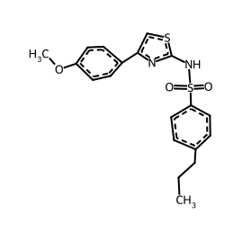 CCCc1ccc(S(=O)(=O)Nc2nc(-c3ccc(OC)cc3)cs2)cc1